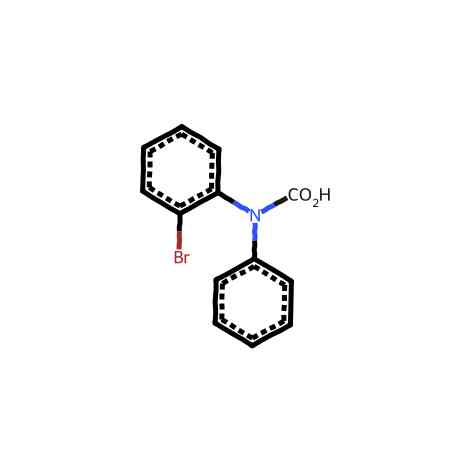 O=C(O)N(c1ccccc1)c1ccccc1Br